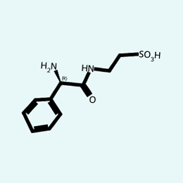 N[C@@H](C(=O)NCCS(=O)(=O)O)c1ccccc1